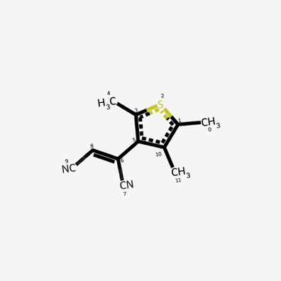 Cc1sc(C)c(C(C#N)=CC#N)c1C